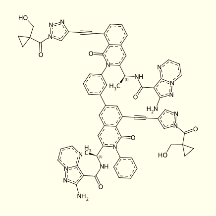 C[C@H](NC(=O)c1c(N)nn2cccnc12)c1cc2cccc(C#Cc3cn(C(=O)C4(CO)CC4)nn3)c2c(=O)n1-c1cccc(-c2cc(C#Cc3cnn(C(=O)C4(CO)CC4)c3)c3c(=O)n(-c4ccccc4)c([C@H](C)NC(=O)c4c(N)nn5cccnc45)cc3c2)c1